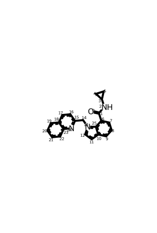 O=C(NC1[CH]C1)c1cccc2ccn(Cc3ccc4ccccc4n3)c12